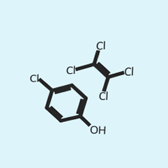 ClC(Cl)=C(Cl)Cl.Oc1ccc(Cl)cc1